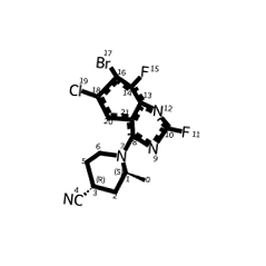 C[C@H]1C[C@H](C#N)CCN1c1nc(F)nc2c(F)c(Br)c(Cl)cc12